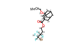 COCOC12CC3CC(C1)CC(C(=O)OCCC(F)(F)C(F)(F)Br)(C3)C2